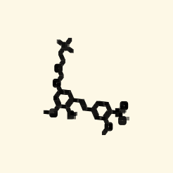 COc1cc(C=Cc2cc(OCOCC[Si](C)(C)C)cc(OC)c2Br)ccc1[N+](=O)[O-]